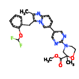 COC(=O)C1(C)CN(c2ncc(-c3ccc4nc(C)c(Cc5ccccc5OC(F)F)n4c3)cn2)CCO1